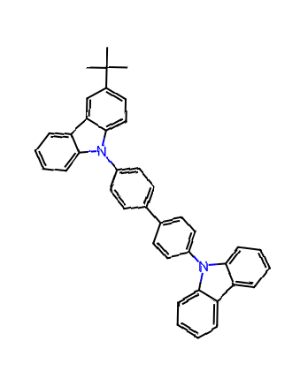 CC(C)(C)c1ccc2c(c1)c1ccccc1n2-c1ccc(-c2ccc(-n3c4ccccc4c4ccccc43)cc2)cc1